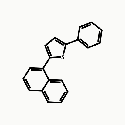 [c]1cc(-c2cccc3ccccc23)sc1-c1ccccc1